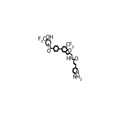 Nc1ccc(C=CC(=O)NCc2cc3cc(-c4ccc(C(=O)N5CCC(O)(C(F)(F)F)CC5)cc4)cc(C(F)(F)F)c3o2)cn1